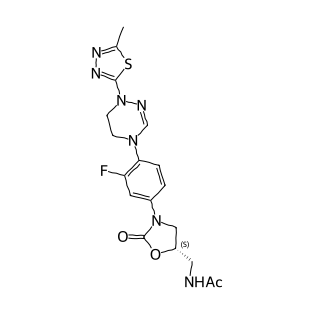 CC(=O)NC[C@H]1CN(c2ccc(N3C=NN(c4nnc(C)s4)CC3)c(F)c2)C(=O)O1